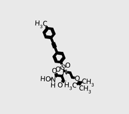 Cc1ccc(C#Cc2ccc(S(=O)(=O)N(CCOC(C)(C)C)[C@@H]([C]=O)C(=O)NO)cc2)cc1